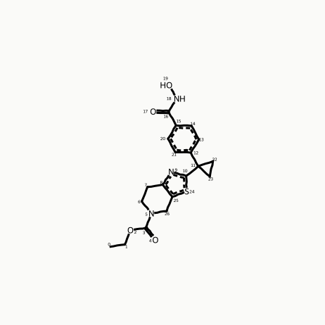 CCOC(=O)N1CCc2nc(C3(c4ccc(C(=O)NO)cc4)CC3)sc2C1